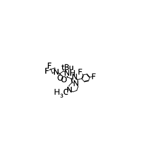 CN1CCCn2c(-c3ccc(F)cc3F)nc(C(=O)N[C@H](C(=O)N3CC(F)(F)C3)C(C)(C)C)c2C1